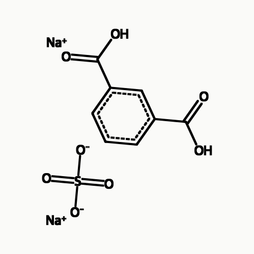 O=C(O)c1cccc(C(=O)O)c1.O=S(=O)([O-])[O-].[Na+].[Na+]